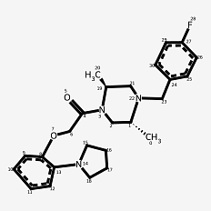 C[C@@H]1CN(C(=O)COc2ccccc2N2CCCC2)[C@@H](C)CN1Cc1ccc(F)cc1